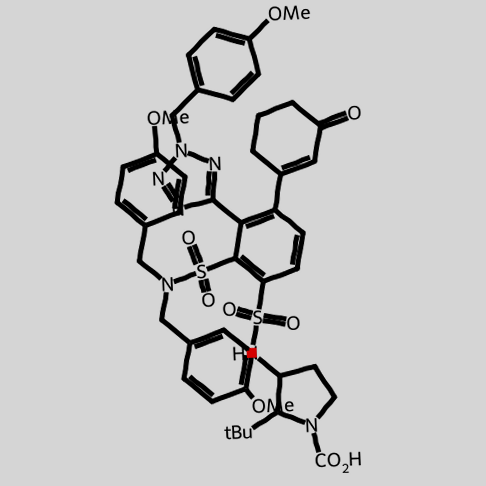 COc1ccc(CN(Cc2ccc(OC)cc2)S(=O)(=O)c2c(S(=O)(=O)NC3CCN(C(=O)O)C3C(C)(C)C)ccc(C3=CC(=O)CCC3)c2-c2nnn(Cc3ccc(OC)cc3)n2)cc1